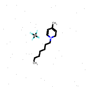 CCCCCCCN1C=CC(C)=CC1.F[B-](F)(F)F